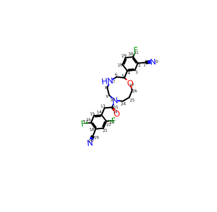 N#Cc1cc(C2CNCCN(C(=O)Cc3cc(F)c(C#N)cc3F)CCCO2)ccc1F